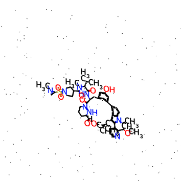 CCn1c(-c2cccnc2[C@H](C)OC)c2c3cc(ccc31)-c1cc(O)cc(c1)C[C@H](NC(=O)C(C(C)C)N(C)C(=O)C1CCN(S(=O)(=O)[C@H]3CN3C)CC1)C(=O)N1CCC[C@H](N1)C(=O)OCC(C)(C)C2